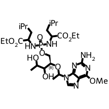 CCOC(=O)C(CC(C)C)NP(=O)(NC(CC(C)C)C(=O)OCC)OC[C@@H](OC(C)n1cnc2c(OC)nc(N)nc21)C(O)C(C)O